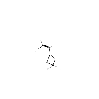 CC(C)=C(C)N1CC(C)(F)C1